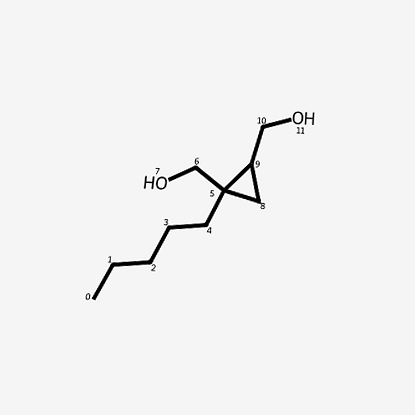 CCCCCC1(CO)CC1CO